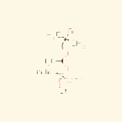 CCCCCC[Si](OCC)(OCC)OC(C)OCC(C)(C)Br